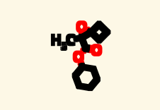 CC1(C(=O)OC2CCCCC2)OC12CCC2